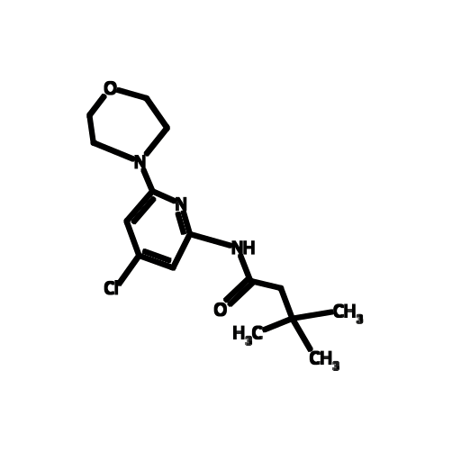 CC(C)(C)CC(=O)Nc1cc(Cl)cc(N2CCOCC2)n1